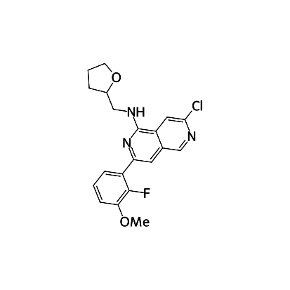 COc1cccc(-c2cc3cnc(Cl)cc3c(NCC3CCCO3)n2)c1F